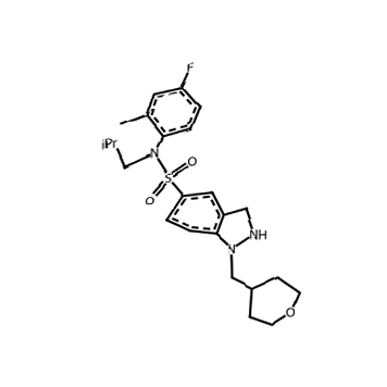 Cc1cc(F)ccc1N(CC(C)C)S(=O)(=O)c1ccc2c(c1)CNN2CC1CCOCC1